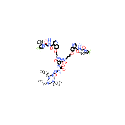 N#C[C@@H]1CC(F)(F)CN1C(=O)CNC(=O)c1ccnc2ccc(OCCCCNC(=O)c3cc(Nc4c(NCCNC(=O)CN5CCN(CC(=O)O)CCN(CC(=O)O)CCN(CC(=O)O)CC5)c(=O)c4=O)cc(C(=O)NCCCCOc4ccc5nccc(C(=O)NCC(=O)N6CC(F)(F)C[C@H]6C#N)c5c4)c3)cc12